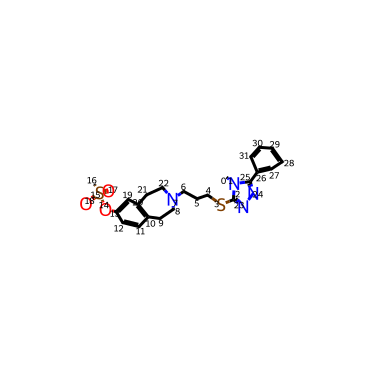 Cn1c(SCCCN2CCc3ccc(OS(C)(=O)=O)cc3CC2)nnc1-c1ccccc1